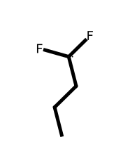 CCC[C](F)F